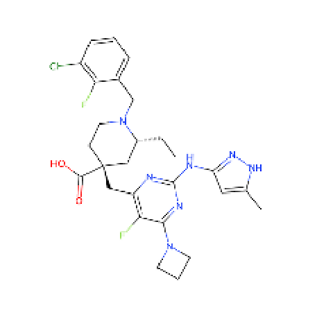 CC[C@@H]1C[C@](Cc2nc(Nc3cc(C)[nH]n3)nc(N3CCC3)c2F)(C(=O)O)CCN1Cc1cccc(Cl)c1F